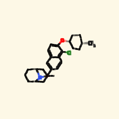 CC1CC2CCCC(C1)N2Cc1ccc2c(Cl)c(O[C@H]3CC[C@@H](C(F)(F)F)CC3)ccc2c1